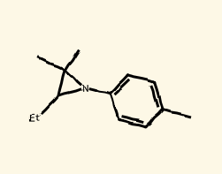 CCC1N(c2ccc(C)cc2)C1(C)C